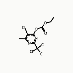 CCOC(=O)Oc1nc(C(Cl)(Cl)Cl)nc(C)c1Cl